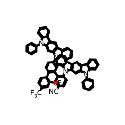 N#Cc1ccc(-n2c3ccccc3c3cc4c5ccccc5n(-c5ccccc5)c4cc32)c(-c2cc(-n3c4ccccc4c4cc5c6ccccc6n(-c6ccccc6)c5cc43)ccc2-c2ccc(C(F)(F)F)cc2C(F)(F)F)c1